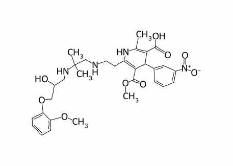 COC(=O)C1=C(CCNCC(C)(C)NCC(O)COc2ccccc2OC)NC(C)=C(C(=O)O)C1c1cccc([N+](=O)[O-])c1